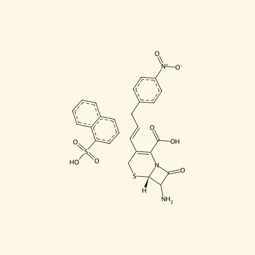 NC1C(=O)N2C(C(=O)O)=C(C=CCc3ccc([N+](=O)[O-])cc3)CS[C@@H]12.O=S(=O)(O)c1cccc2ccccc12